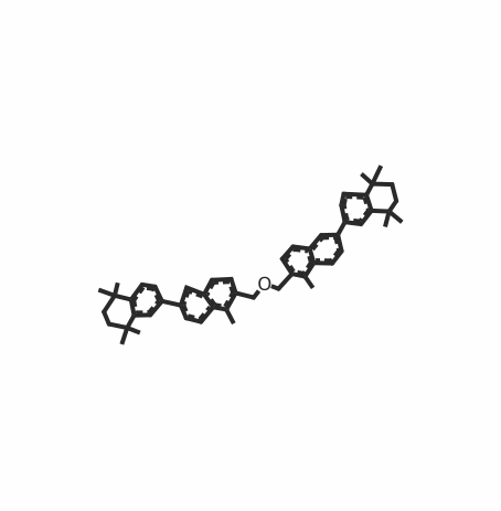 Cc1c(COCc2ccc3cc(-c4ccc5c(c4)C(C)(C)CCC5(C)C)ccc3c2C)ccc2cc(-c3ccc4c(c3)C(C)(C)CCC4(C)C)ccc12